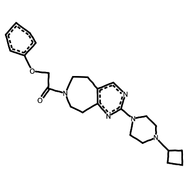 O=C(COc1ccccc1)N1CCc2cnc(N3CCN(C4CCC4)CC3)nc2CC1